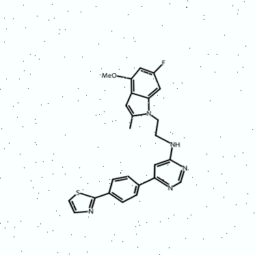 COc1cc(F)cc2c1cc(C)n2CCNc1cc(-c2ccc(-c3nccs3)cc2)ncn1